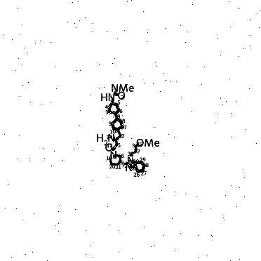 CNC(=O)Nc1ccc(-c2ccc(C[C@@H](N)CC(=O)N3CCC[C@@H](c4nc5ccccc5n4CCCOC)C3)cc2)cc1